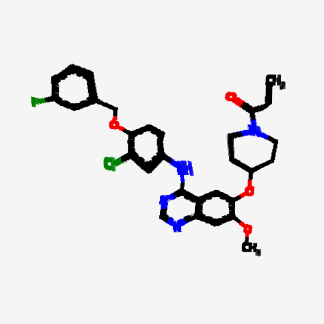 C=CC(=O)N1CCC(Oc2cc3c(Nc4ccc(OCc5cccc(F)c5)c(Cl)c4)ncnc3cc2OC)CC1